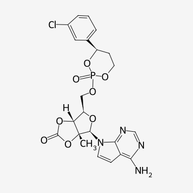 C[C@@]12OC(=O)O[C@@H]1[C@@H](COP1(=O)OCC[C@H](c3cccc(Cl)c3)O1)O[C@H]2n1ccc2c(N)ncnc21